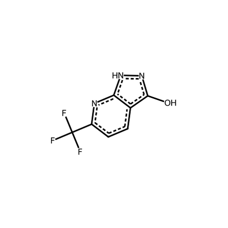 Oc1n[nH]c2nc(C(F)(F)F)ccc12